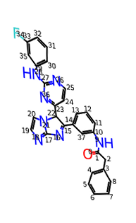 O=C(Cc1ccccc1)Nc1cccc(C2=Nc3nccn3C2c2ccnc(Nc3cccc(F)c3)n2)c1